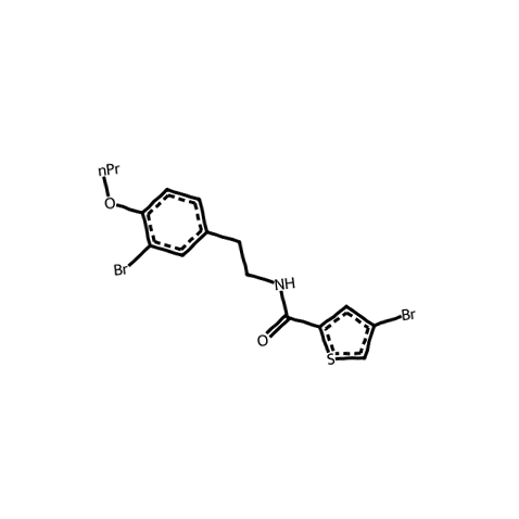 CCCOc1ccc(CCNC(=O)c2cc(Br)cs2)cc1Br